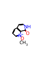 CO[n+]1cccc2cc[nH]c(=O)c21